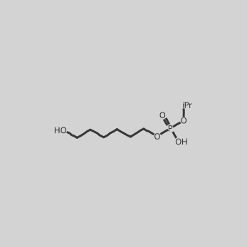 CC(C)OP(=O)(O)OCCCCCCO